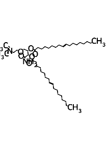 CCCCCCCCC=CCCCCCCCC(=O)OC(COCCN(C)CC)C(OC(=O)CCCCCCCC=CCCCCCCCC)C(N)=O